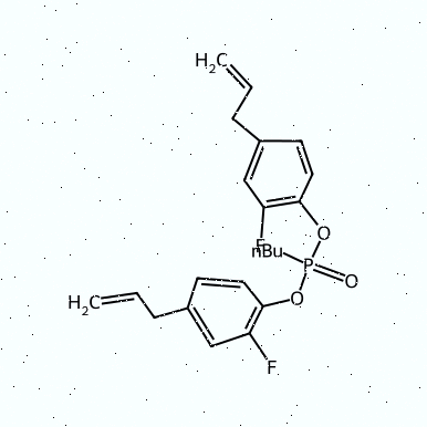 C=CCc1ccc(OP(=O)(CCCC)Oc2ccc(CC=C)cc2F)c(F)c1